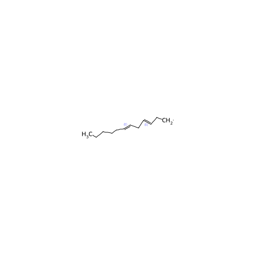 [CH2]C/C=C/C/C=C/CCCCC